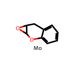 [Mo].c1ccc2c(c1)CC1OC1O2